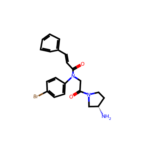 N[C@H]1CCN(C(=O)CN(C(=O)/C=C/c2ccccc2)c2ccc(Br)cc2)C1